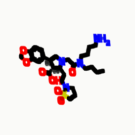 CCCCN(CCCCN)C(=O)CN1C[C@H](c2ccc3c(c2)OCO3)[C@@H](C(=O)O)[C@@H]1CCN1CCCS1(=O)=O